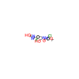 CC(C)Oc1ccc(C(=O)NC(CCO)Cc2ccc(-c3cn(C)c(C(C)(C)O)n3)c(F)c2)cc1Cl